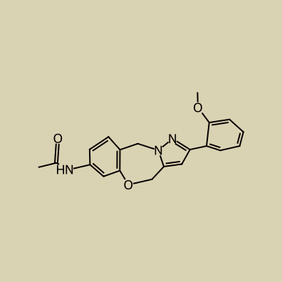 COc1ccccc1-c1cc2n(n1)Cc1ccc(NC(C)=O)cc1OC2